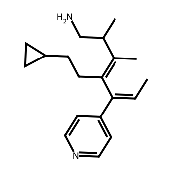 C/C=C(\C(CCC1CC1)=C(/C)C(C)CN)c1ccncc1